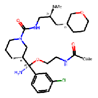 CN[C@H](CNC(=O)N1CCC[C@@H]([C@@](N)(OCCNC(=O)OC)c2cccc(Cl)c2)C1)C[C@H]1CCCOC1